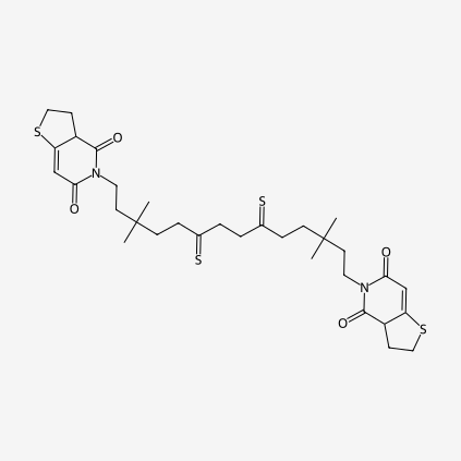 CC(C)(CCC(=S)CCC(=S)CCC(C)(C)CCN1C(=O)C=C2SCCC2C1=O)CCN1C(=O)C=C2SCCC2C1=O